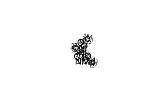 CNC(=O)C[C@@H]1[C@@H](OC(=O)c2ccccc2)C[C@@H](COC(=O)c2ccccc2)N1Cc1ccccc1